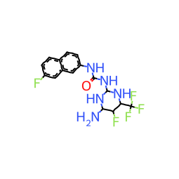 NC1NC(NC(=O)Nc2ccc3ccc(F)cc3c2)NC(C(F)(F)F)C1F